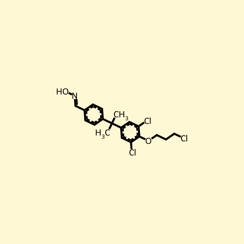 CC(C)(c1ccc(/C=N/O)cc1)c1cc(Cl)c(OCCCCl)c(Cl)c1